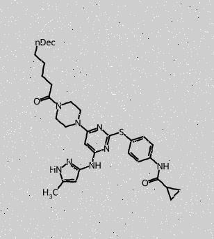 CCCCCCCCCCCCCCC(=O)N1CCN(c2cc(Nc3cc(C)[nH]n3)nc(Sc3ccc(NC(=O)C4CC4)cc3)n2)CC1